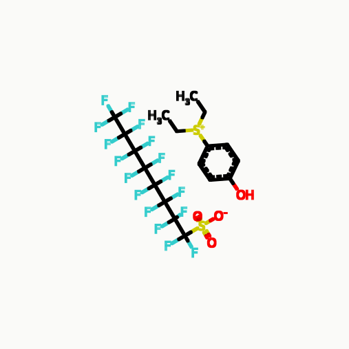 CC[S+](CC)c1ccc(O)cc1.O=S(=O)([O-])C(F)(F)C(F)(F)C(F)(F)C(F)(F)C(F)(F)C(F)(F)C(F)(F)C(F)(F)F